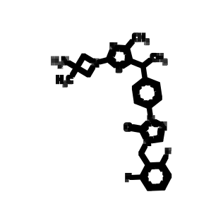 Cc1nc(N2CC(C)(N)C2)sc1C(C)c1ccc(-n2ncn(Cc3c(F)cccc3F)c2=O)cc1